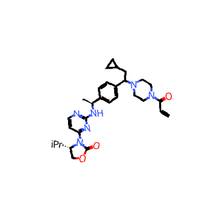 C=CC(=O)N1CCN(C(CC2CC2)c2ccc([C@H](C)Nc3nccc(N4C(=O)OC[C@@H]4C(C)C)n3)cc2)CC1